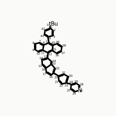 CC(C)(C)c1ccc(-c2c3ccccc3c(-c3ccc4ccc(-c5ccc(-c6ccncc6)cc5)cc4c3)c3ccccc23)cc1